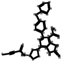 CC#CC(=O)N[C@H]1CCN(c2nc(-c3ccc(Oc4ccccc4)cc3)c(C(N)=O)c3[nH]c(=O)[nH]c23)C1